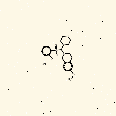 COc1ccc2c(c1)CCN(C(C1CCNCC1)S(=O)(=O)c1ccccc1Cl)C2.Cl